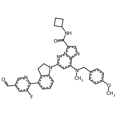 COc1ccc(CN(C)c2cc(N3CCc4c(-c5ncc(C=O)cc5F)cccc43)nn3c(C(=O)NC4CCC4)cnc23)cc1